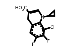 O=C(O)C1=CN(C2CC2)c2c(cc(F)c(F)c2Cl)C1